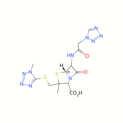 Cn1nnnc1SCC1(C)S[C@@H]2C(NC(=O)Cn3cnnn3)C(=O)N2C1C(=O)O